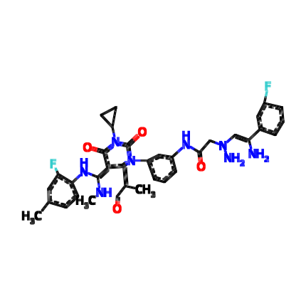 CN/C(Nc1ccc(C)cc1F)=c1/c(=O)n(C2CC2)c(=O)n(-c2cccc(NC(=O)CN(N)/C=C(\N)c3cccc(F)c3)c2)/c1=C(\C)C=O